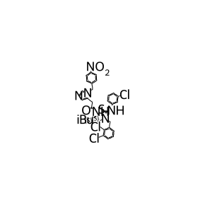 CC[C@H](C)[C@@H](CN(Cc1cccc(Cl)c1Cl)C(=S)Nc1cccc(Cl)c1)NC(=O)Cc1cncn1Cc1ccc([N+](=O)[O-])cc1